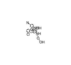 Cl.N#Cc1ccc(Nc2nc(Cc3c(Cl)cccc3Cl)cc(NCCOCCO)n2)cc1